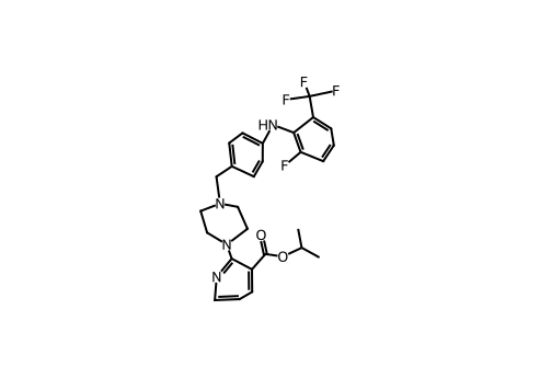 CC(C)OC(=O)c1cccnc1N1CCN(Cc2ccc(Nc3c(F)cccc3C(F)(F)F)cc2)CC1